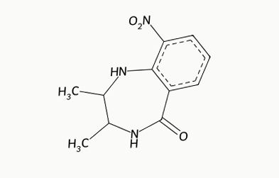 CC1NC(=O)c2cccc([N+](=O)[O-])c2NC1C